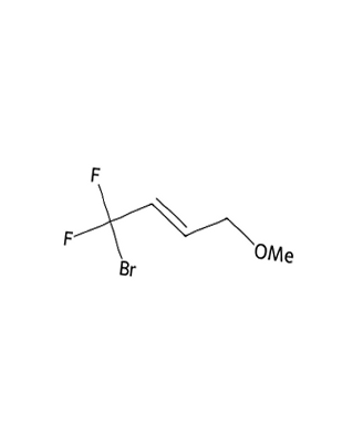 [CH2]OC/C=C/C(F)(F)Br